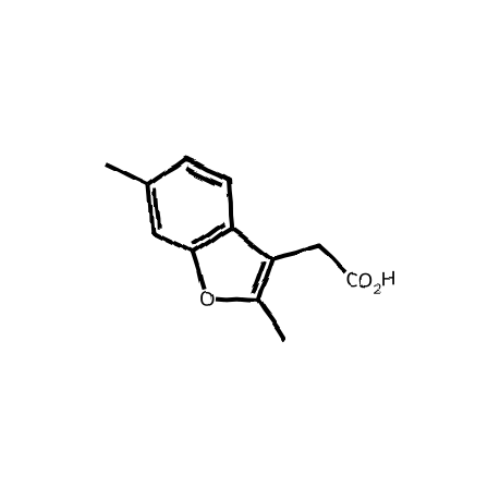 Cc1ccc2c(CC(=O)O)c(C)oc2c1